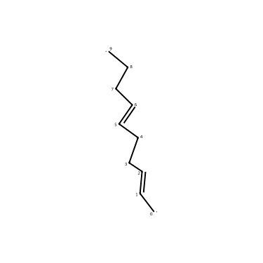 [CH2]C=CCCC=CCC[CH2]